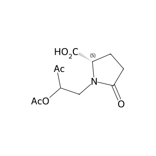 CC(=O)OC(CN1C(=O)CC[C@H]1C(=O)O)C(C)=O